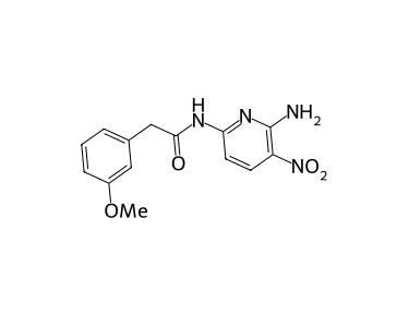 COc1cccc(CC(=O)Nc2ccc([N+](=O)[O-])c(N)n2)c1